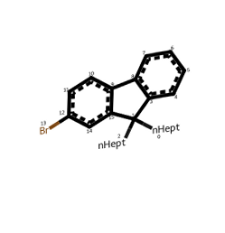 CCCCCCCC1(CCCCCCC)c2ccccc2-c2ccc(Br)cc21